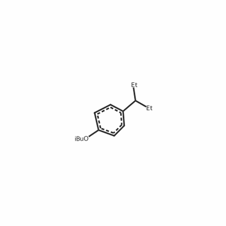 CCC(CC)c1ccc(OCC(C)C)cc1